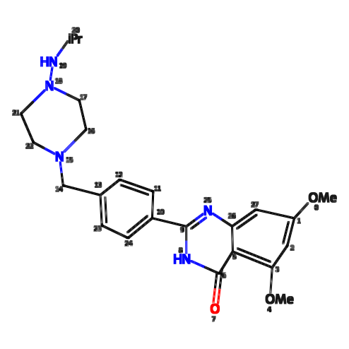 COc1cc(OC)c2c(=O)[nH]c(-c3ccc(CN4CCN(NC(C)C)CC4)cc3)nc2c1